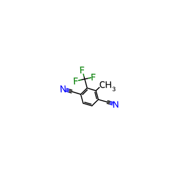 Cc1c(C#N)ccc(C#N)c1C(F)(F)F